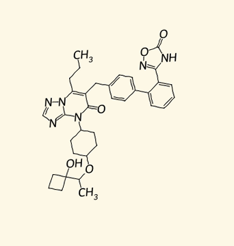 CCCc1c(Cc2ccc(-c3ccccc3-c3noc(=O)[nH]3)cc2)c(=O)n(C2CCC(OC(C)C3(O)CCC3)CC2)c2ncnn12